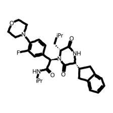 CC(C)C[C@@H]1C(=O)N[C@H](C2Cc3ccccc3C2)C(=O)N1[C@@H](C(=O)NC(C)C)c1ccc(N2CCOCC2)c(F)c1